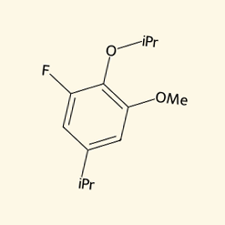 COc1cc(C(C)C)cc(F)c1OC(C)C